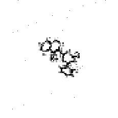 O=C1C=C(c2ccccc2Br)CC(c2ccc3ccccc3c2Br)C1